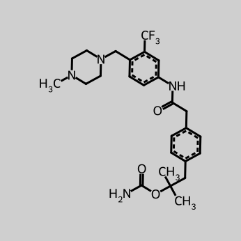 CN1CCN(Cc2ccc(NC(=O)Cc3ccc(CC(C)(C)OC(N)=O)cc3)cc2C(F)(F)F)CC1